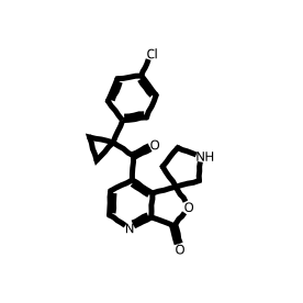 O=C1OC2(CCNC2)c2c(C(=O)C3(c4ccc(Cl)cc4)CC3)ccnc21